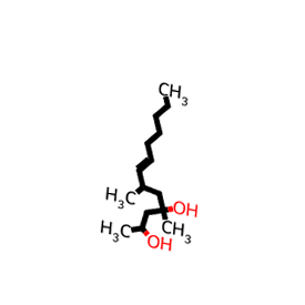 CCCCCC=CC(C)CC(C)(O)CC(C)O